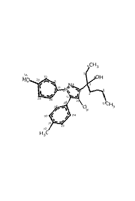 CCCC(O)(CC)c1nn(-c2ccc(O)cc2)c(-c2ccc(C)cc2)c1Cl